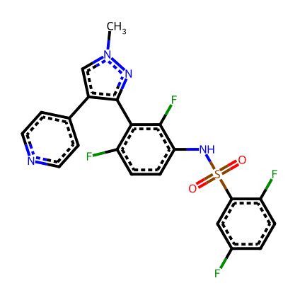 Cn1cc(-c2ccncc2)c(-c2c(F)ccc(NS(=O)(=O)c3cc(F)ccc3F)c2F)n1